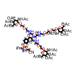 CC(=O)NC1C(OCCOCCNC(=O)CN(CC(=O)NCCOCCOCCOC2OC(COC(C)=O)C(OC(C)=O)C(OC(C)=O)C2NC(C)=O)C(Cc2ccc(OP(OCCC#N)N(C(C)C)C(C)C)cc2)C(=O)NCCOCCOC2OC(COC(C)=O)C(OC(C)=O)C(OC(C)=O)C2NC(C)=O)OC(COC(C)=O)C(OC(C)=O)C1OC(C)=O